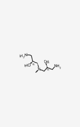 CN(C[C@@H](O)CN)C[C@@H](O)CN